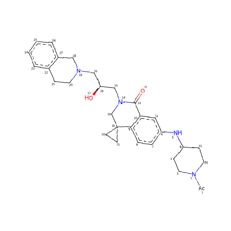 CC(=O)N1CCC(Nc2ccc3c(c2)C(=O)N(C[C@@H](O)CN2CCc4ccccc4C2)CC32CC2)CC1